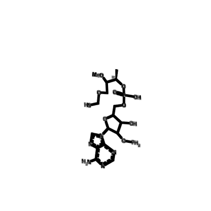 COC(COCS)[C@@H](C)OP(=O)(O)OCC1OC(n2cnc3c(N)ncnc32)C(OP)C1O